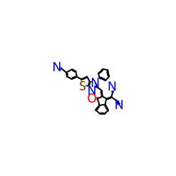 N#CC(C#N)=C1/C(=C/c2nc3sc(-c4ccc(C#N)cc4)cc3n2-c2ccccc2)C(=O)c2ccccc21